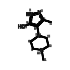 Cc1n[nH]c(O)c1N1CCN(C)CC1